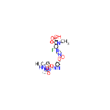 CCn1cc(C(=O)O)c(=O)c2cc(F)c(N3CCN(C(=O)OCc4ccc(NC(=O)CNC(=O)C5(C(=O)NC(C)c6cccs6)CCC5)cc4)CC3)cc21